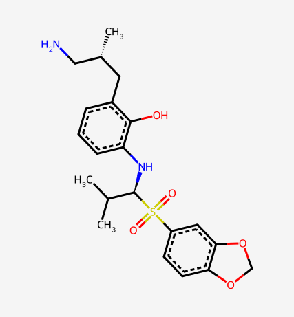 CC(C)[C@@H](Nc1cccc(C[C@@H](C)CN)c1O)S(=O)(=O)c1ccc2c(c1)OCO2